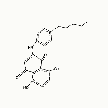 CCCCCc1ccc(NC2=CC(=O)c3c(O)ccc(O)c3C2=O)cc1